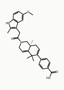 COc1ccc2[nH]c(C)c(CC(=O)N3CC=C4C(C)(C)C(c5ccc(C(=O)O)cc5)=CC[C@]4(C)C3)c2c1